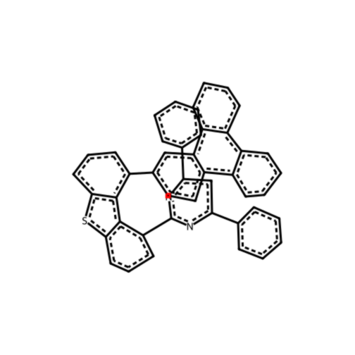 c1ccc(-c2cc(-c3ccccc3)nc(-c3cccc4sc5cccc(-c6ccc7c8ccccc8c8ccccc8c7c6)c5c34)n2)cc1